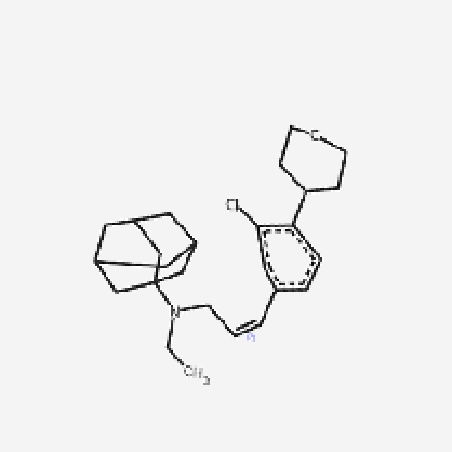 CCN(C/C=C\c1ccc(C2CCCCC2)c(Cl)c1)C12CC3CC(CC(C3)C1)C2